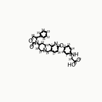 Cc1nc(Oc2ccc(NCC(=O)O)cc2)ccc1CN1CCC(N2C(=O)OCC2c2ccccc2)CC1